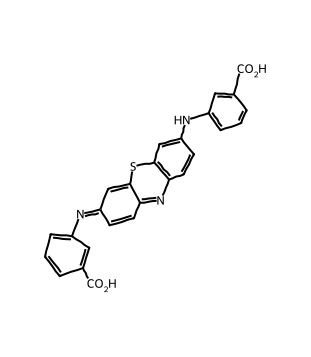 O=C(O)c1cccc(/N=c2\ccc3nc4ccc(Nc5cccc(C(=O)O)c5)cc4sc-3c2)c1